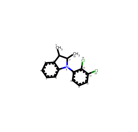 CC1c2ccccc2N(c2cccc(Cl)c2Cl)C1C